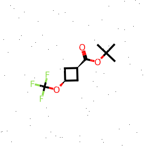 CC(C)(C)OC(=O)[C@H]1C[C@@H](OC(F)(F)F)C1